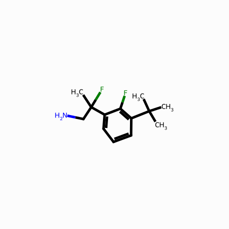 CC(C)(C)c1cccc(C(C)(F)CN)c1F